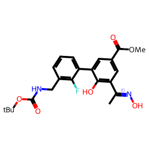 COC(=O)c1cc(/C(C)=N/O)c(O)c(-c2cccc(CNC(=O)OC(C)(C)C)c2F)c1